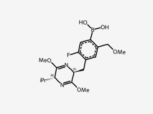 COCc1cc(C[C@@H]2N=C(OC)[C@@H](C(C)C)N=C2OC)c(F)cc1B(O)O